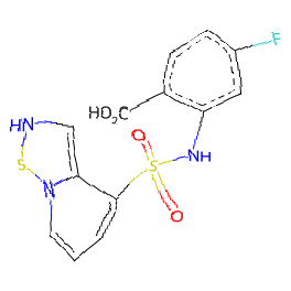 O=C(O)c1ccc(F)cc1NS(=O)(=O)C1=CC=CN2SNC=C12